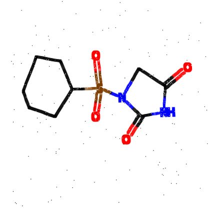 O=C1CN(S(=O)(=O)C2CCCCC2)C(=O)N1